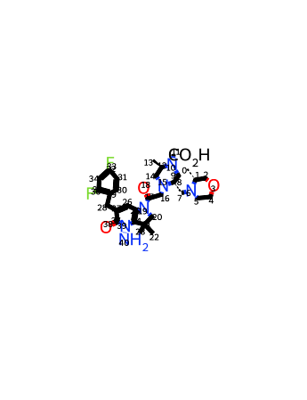 C[C@@H]1COCCN1C[C@H]1CN(C(=O)O)[C@H](C)CN1CC(=O)N1CC(C)(C)c2c1cc(Cc1ccc(F)cc1F)c(=O)n2N